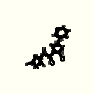 Cc1nnc(NC(=O)c2sc(-c3cccnc3)nc2Cl)s1